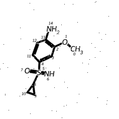 COc1cc(S(=N)(=O)C2CC2)ccc1N